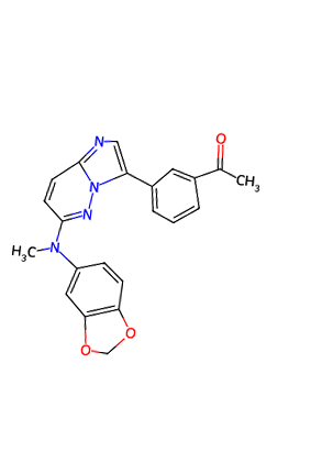 CC(=O)c1cccc(-c2cnc3ccc(N(C)c4ccc5c(c4)OCO5)nn23)c1